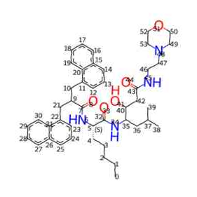 CCCCC[C@H](NC(=O)C(Cc1cccc2ccccc12)Cc1cccc2ccccc12)C(=O)NC(CC(C)C)C(O)CC(=O)NCCN1CCOCC1